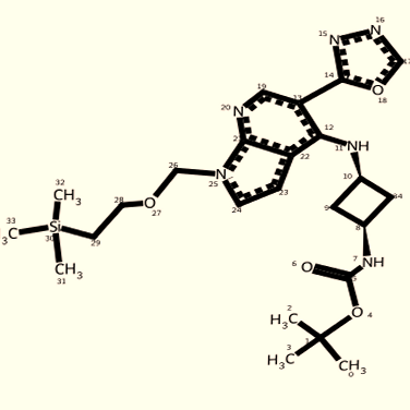 CC(C)(C)OC(=O)N[C@H]1C[C@@H](Nc2c(-c3nnco3)cnc3c2ccn3COCC[Si](C)(C)C)C1